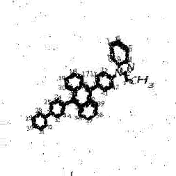 CCC1=NC2C=CC=CC2N1c1ccc(-c2c3ccccc3c(-c3ccc(-c4ccccc4)cc3)c3ccccc23)cc1